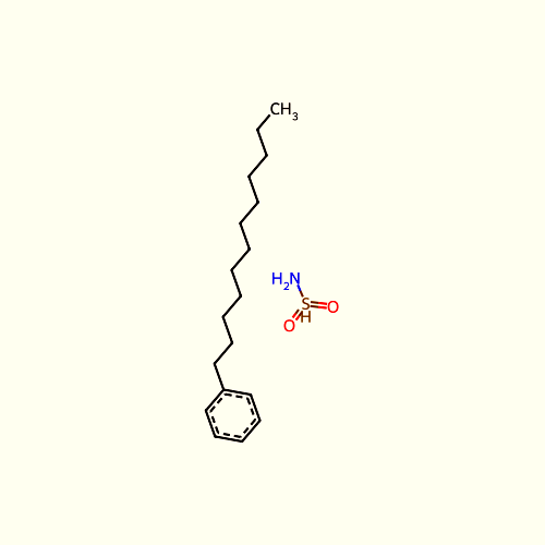 CCCCCCCCCCCCc1ccccc1.N[SH](=O)=O